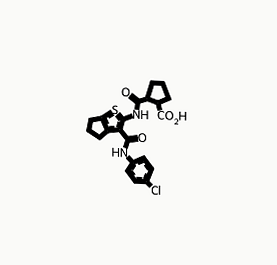 O=C(Nc1ccc(Cl)cc1)c1c(NC(=O)C2CCCC2C(=O)O)sc2c1CCC2